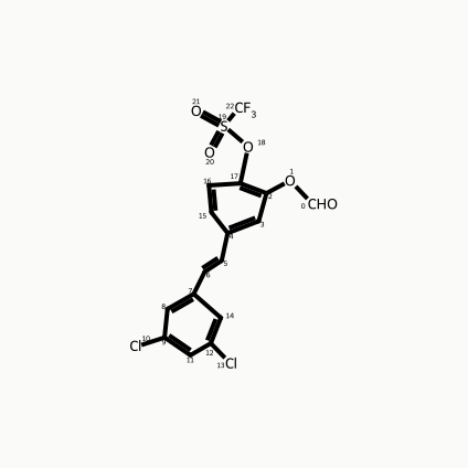 O=COc1cc(C=Cc2cc(Cl)cc(Cl)c2)ccc1OS(=O)(=O)C(F)(F)F